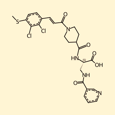 CSc1ccc(C=CC(=O)N2CCC(C(=O)N[C@@H](CNC(=O)c3cccnc3)C(=O)O)CC2)c(Cl)c1Cl